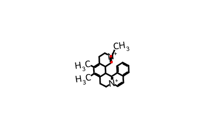 CC1=C2CC[n+]3ccc4ccccc4c3C2C2C(=C1C)CC[n+]1c(C)cccc12